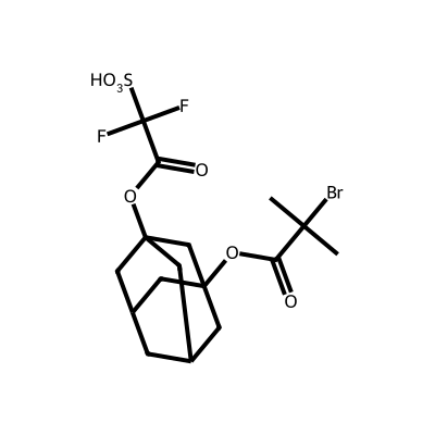 CC(C)(Br)C(=O)OC12CC3CC(C1)CC(OC(=O)C(F)(F)S(=O)(=O)O)(C3)C2